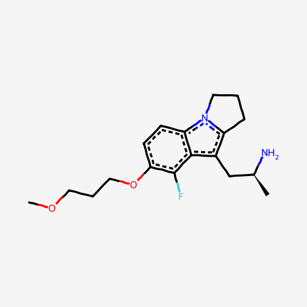 COCCCOc1ccc2c(c1F)c(C[C@H](C)N)c1n2CCC1